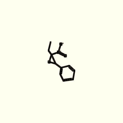 CCC1([N+](=O)[O-])OC1c1ccccc1